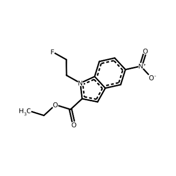 CCOC(=O)c1cc2cc([N+](=O)[O-])ccc2n1CCF